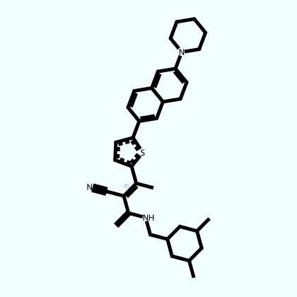 C=C(NCC1CC(C)CC(C)C1)/C(C#N)=C(\C)c1ccc(C2=CC3CC=C(N4CCCCC4)C=C3C=C2)s1